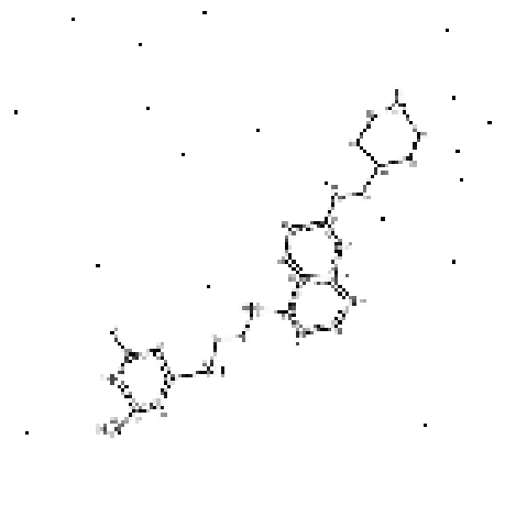 Cc1cc(NCCNc2ncnc3cc(OCC4CCNCC4)ccc23)nc(N)n1